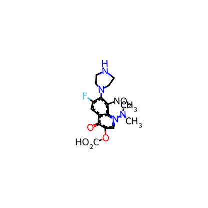 CN(C)n1cc(OC(=O)O)c(=O)c2cc(F)c(N3CCNCC3)c([N+](=O)[O-])c21